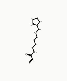 C=CC(=O)OCCCCOCC1CCCO1